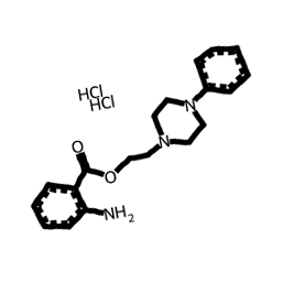 Cl.Cl.Nc1ccccc1C(=O)OCCN1CCN(c2ccccc2)CC1